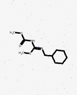 COC(=O)N/C(=N/CC1CCCCC1)SC